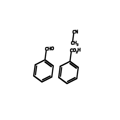 CC#N.O=C(O)c1ccccc1.O=Cc1ccccc1